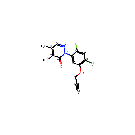 C#CCOc1cc(-n2ncc(C(F)(F)F)c(C)c2=O)c(F)cc1Cl